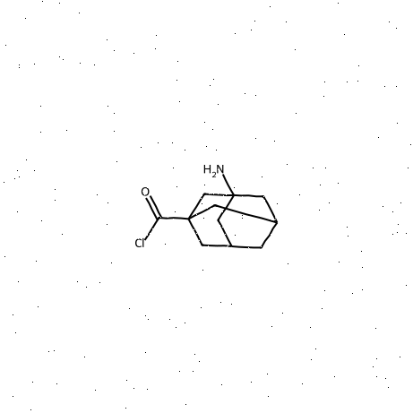 NC12CC3CC(C1)CC(C(=O)Cl)(C3)C2